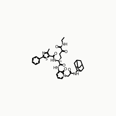 CCNC(=O)C(=O)CC[C@H](NC(=O)c1sc(-c2ccccc2)nc1C)C(=O)Nc1cccn(CC(=O)NC2C3CC4CC(C3)CC2C4)c1=O